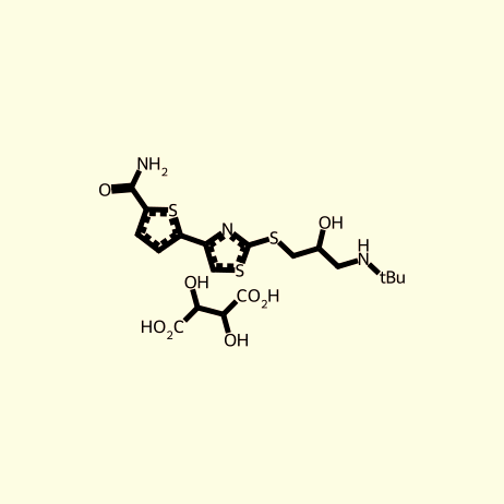 CC(C)(C)NCC(O)CSc1nc(-c2ccc(C(N)=O)s2)cs1.O=C(O)C(O)C(O)C(=O)O